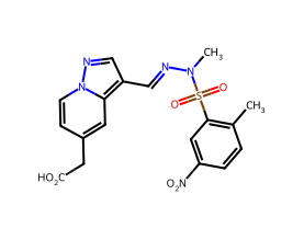 Cc1ccc([N+](=O)[O-])cc1S(=O)(=O)N(C)N=Cc1cnn2ccc(CC(=O)O)cc12